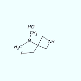 CN(C)C1(CF)CNC1.Cl